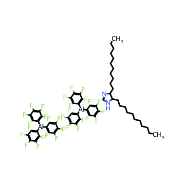 CCCCCCCCCCCC1N=CNC1CCCCCCCCCCC.Fc1c(F)c(F)[c]([Al]([c]2c(F)c(F)c(F)c(F)c2F)[c]2c(F)c(F)c(F)c(F)c2F)c(F)c1F.Fc1c(F)c(F)[c]([Al]([c]2c(F)c(F)c(F)c(F)c2F)[c]2c(F)c(F)c(F)c(F)c2F)c(F)c1F